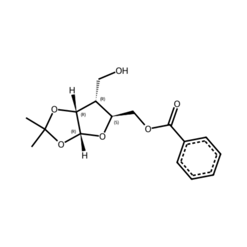 CC1(C)O[C@H]2O[C@H](COC(=O)c3ccccc3)[C@@H](CO)[C@H]2O1